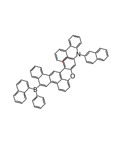 c1ccc(B(c2cccc3ccccc23)c2cc3c4cccc5c4c(cc3c3ccccc23)-c2ccc(N(c3ccc4ccccc4c3)c3ccccc3-c3ccccc3)cc2O5)cc1